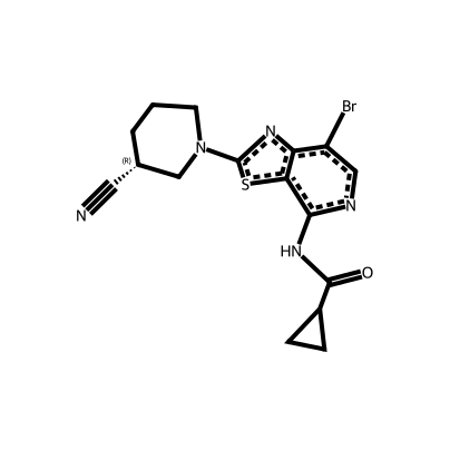 N#C[C@@H]1CCCN(c2nc3c(Br)cnc(NC(=O)C4CC4)c3s2)C1